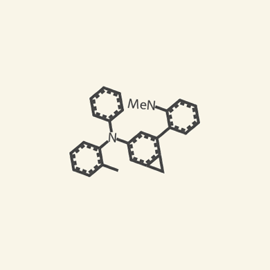 CNc1ccccc1-c1cc(N(c2ccccc2)c2ccccc2C)cc2c1C2